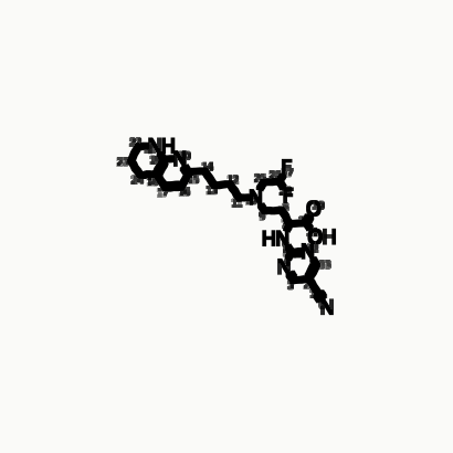 N#Cc1cnc(NC(CCN(CCCCc2ccc3c(n2)NCCC3)CC(F)F)C(=O)O)nc1